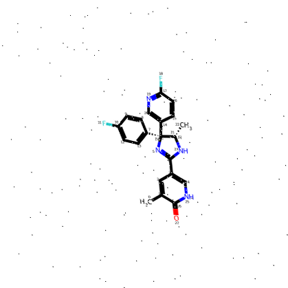 Cc1cc(C2=N[C@@](c3ccc(F)cc3)(c3ccc(F)nc3)[C@H](C)N2)c[nH]c1=O